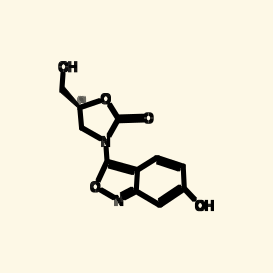 O=C1O[C@H](CO)CN1c1onc2cc(O)ccc12